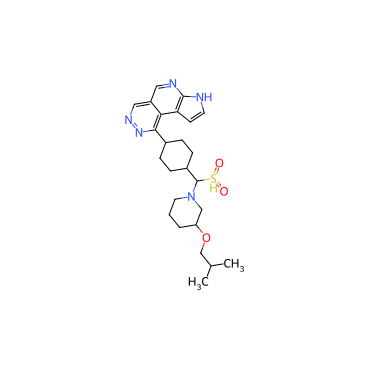 CC(C)COC1CCCN(C(C2CCC(c3nncc4cnc5[nH]ccc5c34)CC2)[SH](=O)=O)C1